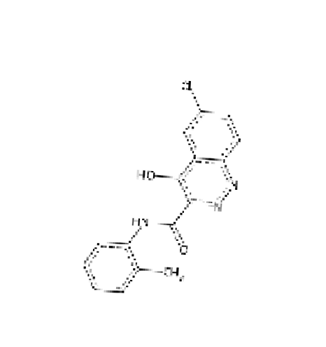 Cc1ccccc1NC(=O)c1nnc2ccc(Cl)cc2c1O